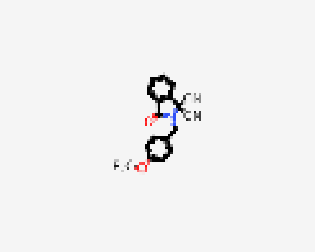 N#CC1(C#N)c2ccccc2C(=O)N1Cc1ccc(OC(F)(F)F)cc1